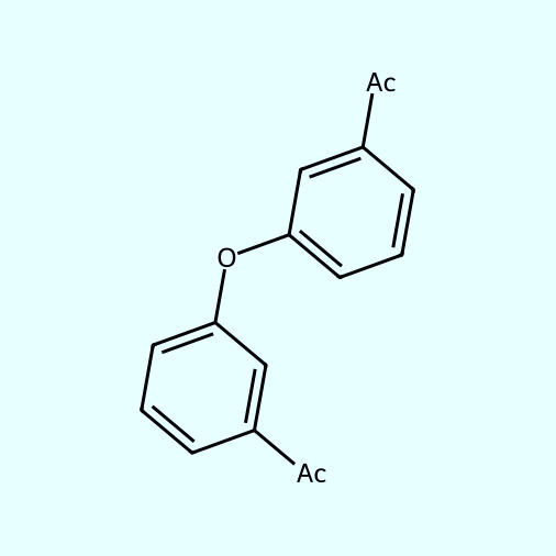 CC(=O)c1cccc(Oc2cccc(C(C)=O)c2)c1